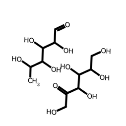 CC(O)C(O)C(O)C(O)C=O.O=C(CO)C(O)C(O)C(O)CO